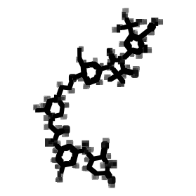 CCc1cc(N2C(=S)N(c3cnc(C#N)c(C(F)(F)F)c3)C(=O)C2(C)C)ccc1OCCN1C=C(C)N(CC(=O)Nc2cc(F)cc(NC3CCC(=O)NC3=O)c2)CC1